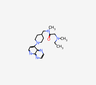 CCN(C)CC(=O)N(C)CC1CCN(c2ccnc3nccnc23)CC1